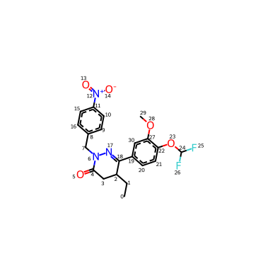 CCC1CC(=O)N(Cc2ccc([N+](=O)[O-])cc2)N=C1c1ccc(OC(F)F)c(OC)c1